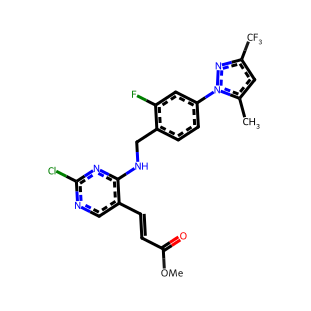 COC(=O)/C=C/c1cnc(Cl)nc1NCc1ccc(-n2nc(C(F)(F)F)cc2C)cc1F